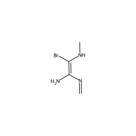 C=N/C(N)=C(/Br)NC